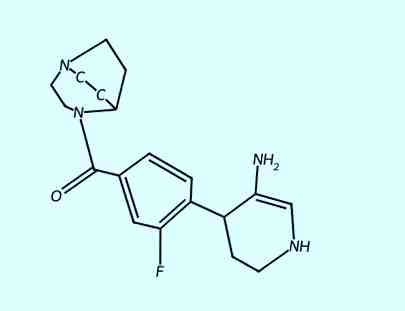 NC1=CNCCC1c1ccc(C(=O)N2CCN3CCC2CC3)cc1F